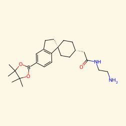 CC1(C)OB(c2ccc3c(c2)CC[C@]32CC[C@@H](CC(=O)NCCN)CC2)OC1(C)C